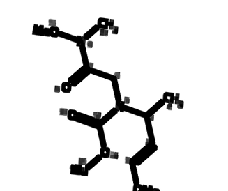 COC=CC(C)N(CC(=O)N(C)OC)C(=O)OC(C)(C)C